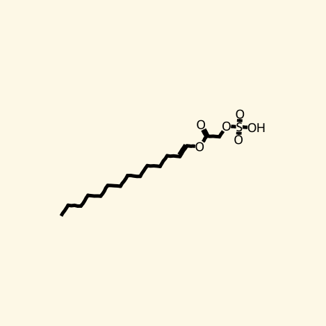 CCCCCCCCCCCCC=COC(=O)COS(=O)(=O)O